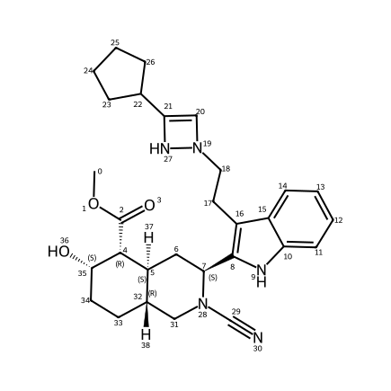 COC(=O)[C@@H]1[C@H]2C[C@@H](c3[nH]c4ccccc4c3CCn3cc(C4CCCC4)[nH]3)N(C#N)C[C@@H]2CC[C@@H]1O